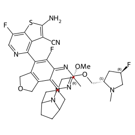 CO[C@H](C)CN1CC2CCC(C1)N2c1nc(OC[C@@H]2C[C@@H](F)CN2C)nc2c(F)c(-c3ncc(F)c4sc(N)c(C#N)c34)c3c(c12)COC3